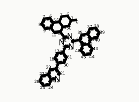 CC1CCC2c3ccccc3C=C(c3nc(-c4ccc(-c5cnc6ccccc6c5)cc4)nc(-c4cc5ccccc5c5ccccc45)n3)C2C1